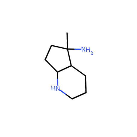 CC1(N)CCC2NCCCC21